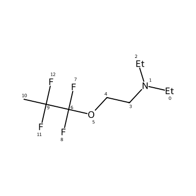 CCN(CC)CCOC(F)(F)C(C)(F)F